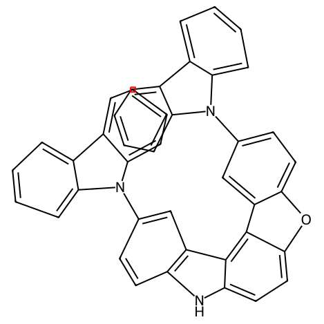 c1ccc2c(c1)c1ccccc1n2-c1ccc2[nH]c3ccc4oc5ccc(-n6c7ccccc7c7ccccc76)cc5c4c3c2c1